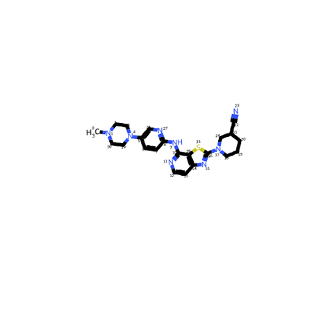 CN1CCN(c2ccc(Nc3nccc4nc(N5CCCC(C#N)C5)sc34)nc2)CC1